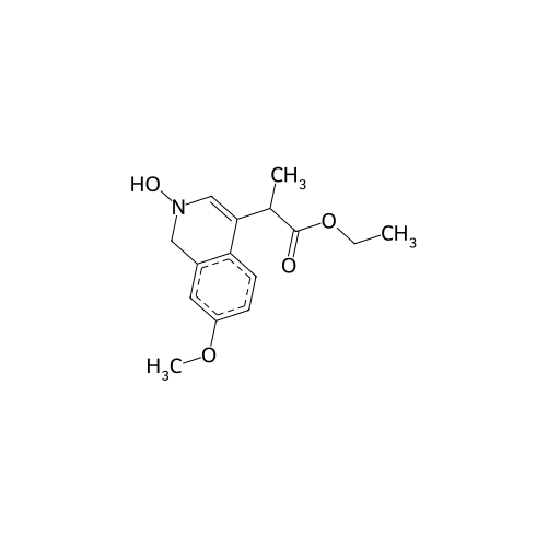 CCOC(=O)C(C)C1=CN(O)Cc2cc(OC)ccc21